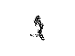 CC(=O)Nc1cc2ccccc2cc1SC(C)C(=O)OCCN1CCN(CCCN2c3ccccc3Sc3ccc(C(F)(F)F)cc32)CC1